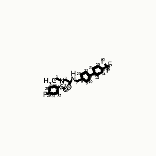 CCN(CC(=O)NCc1ccc(-c2ccc(C(F)(F)F)cc2)cc1)[S+]([O-])c1ccc(F)cc1